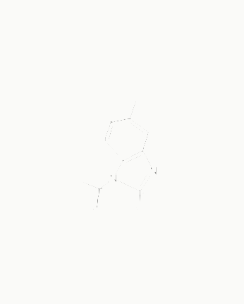 CC(C)n1c(Cl)nc2cc(F)ccc21